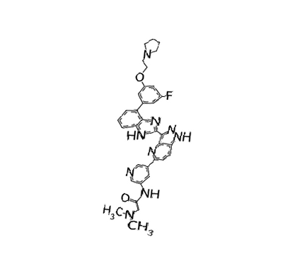 CN(C)CC(=O)Nc1cncc(-c2ccc3[nH]nc(-c4nc5c(-c6cc(F)cc(OCCN7CCCC7)c6)cccc5[nH]4)c3n2)c1